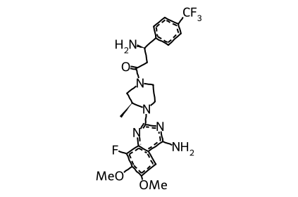 COc1cc2c(N)nc(N3CCN(C(=O)C[C@@H](N)c4ccc(C(F)(F)F)cc4)C[C@@H]3C)nc2c(F)c1OC